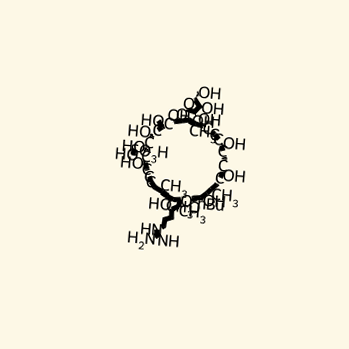 CCCCC1C(=O)OC(C(C)C(O)CCCNC(=N)N)C(C)/C=C(\C)CCCCC(O)CC(O)CC(O)CC(O)CC(O)C(O[C@H]2O[C@H](CO)[C@@H](O)[C@@H]2O)/C=C(\C)C(O)CCCC(O)CCCC(O)CCC(C)C1O.O=S(=O)(O)O